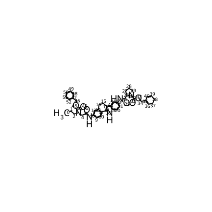 CCCN(CC(=O)Nc1ccc2c(c1)CCc1c-2[nH]c2ccc(NC(=O)C3CCCN3C(=O)OCC3=CCCC=C3)cc12)C(=O)OCc1ccccc1